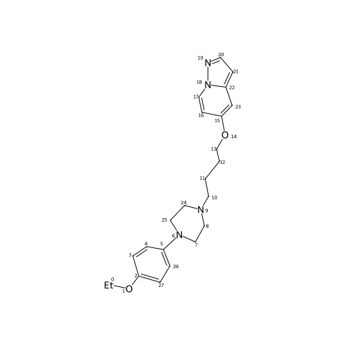 CCOc1ccc(N2CCN(CCCCOc3ccn4nccc4c3)CC2)cc1